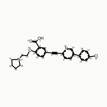 O=C(O)c1cc(C#Cc2ccc(-c3ccc(Cl)cc3)cn2)ccc1OCCN1CCCC1